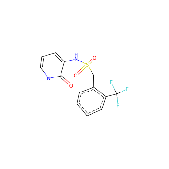 O=C1[N]C=CC=C1NS(=O)(=O)Cc1ccccc1C(F)(F)F